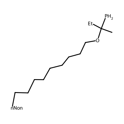 CCCCCCCCCCCCCCCCCCOC(C)(P)CC